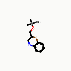 CC(C)(C)[Si](C)(C)OCC1CNc2ccccc2S1